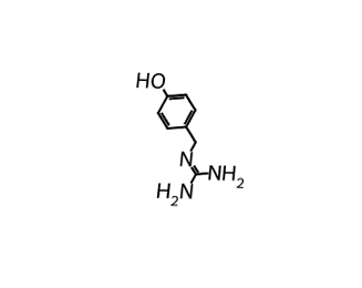 NC(N)=NCc1ccc(O)cc1